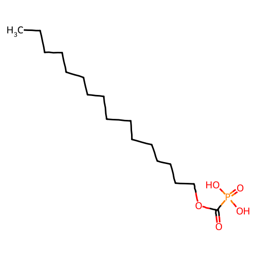 CCCCCCCCCCCCCCCCOC(=O)P(=O)(O)O